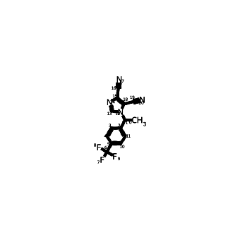 CC(c1ccc(C(F)(F)F)cc1)n1cnc(C#N)c1C#N